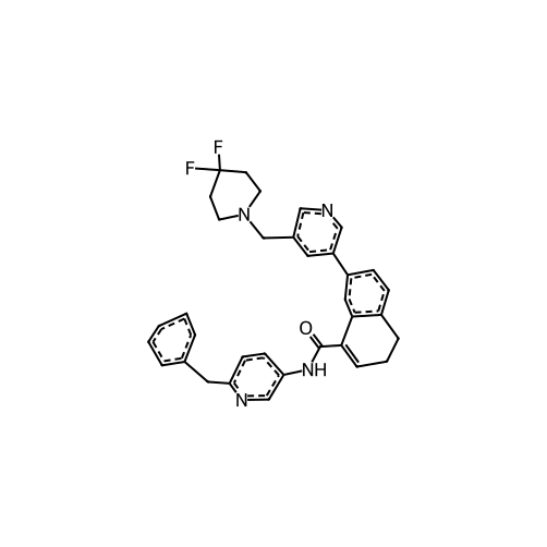 O=C(Nc1ccc(Cc2ccccc2)nc1)C1=CCCc2ccc(-c3cncc(CN4CCC(F)(F)CC4)c3)cc21